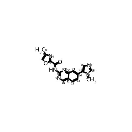 Cc1coc(C(=O)Nc2ncc3ccc(-c4cncn4C)cc3n2)n1